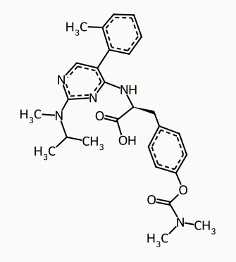 Cc1ccccc1-c1cnc(N(C)C(C)C)nc1N[C@@H](Cc1ccc(OC(=O)N(C)C)cc1)C(=O)O